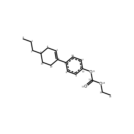 CCCC1CC=C(c2ccc(OC(=O)OCC)cc2)CC1